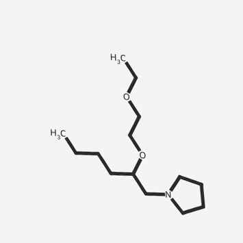 CCCCC(CN1CCCC1)OCCOCC